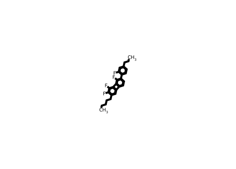 CCCCCc1cc2c(c(F)c1F)-c1c-2ccc(-c2ccc(CCC)cc2F)c1F